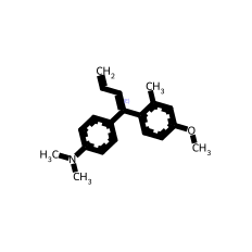 C=C/C=C(\c1ccc(N(C)C)cc1)c1ccc(OC)cc1C